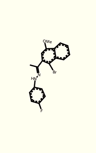 COc1cc(C(C)=NNc2ccc(F)cc2)c(Br)c2ccccc12